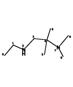 CCNCC(C)(C)N(C)C